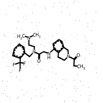 CCC(=O)N1CCc2c(cccc2NCC(=O)N(CCN(C)C)Cc2ccccc2C(F)(F)F)C1